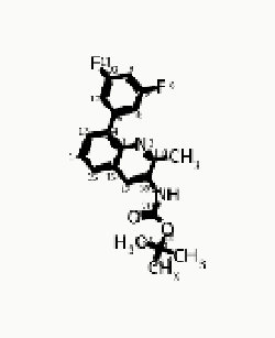 Cc1nc2c(-c3cc(F)cc(F)c3)cccc2cc1NC(=O)OC(C)(C)C